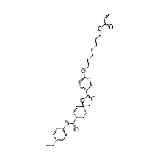 C=CC(=O)OCCCCCCCOc1ccc(C(=O)OC2(C)C=CC(C(=O)Oc3ccc(CC)cc3)=CC2)cc1